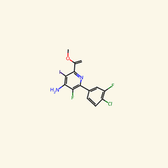 C=C(OC)c1nc(-c2ccc(Cl)c(F)c2)c(F)c(N)c1I